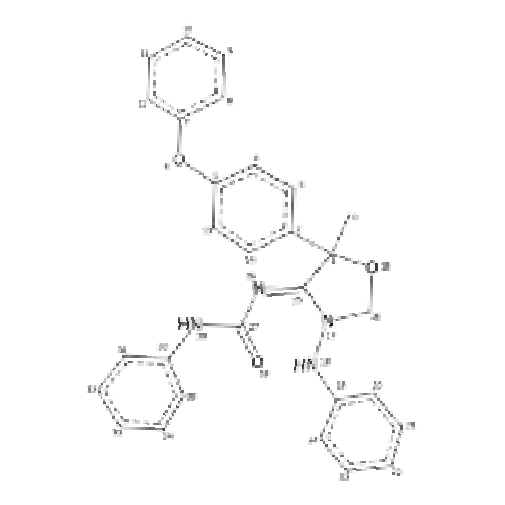 CC1(c2ccc(Oc3ccccc3)cc2)OCN(Nc2ccccc2)C1=NC(=O)Nc1ccccc1